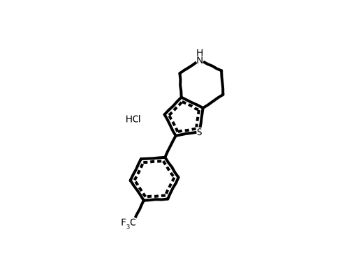 Cl.FC(F)(F)c1ccc(-c2cc3c(s2)CCNC3)cc1